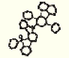 O=P1(c2ccccc2)c2ccccc2-c2ccc3c(c21)c1ccccc1n3-c1cc(-c2ccccc2)c2c(c1-c1ccccc1)-c1cccc3cccc-2c13